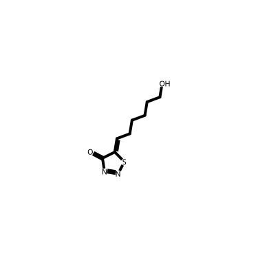 O=C1N=NSC1=CCCCCCO